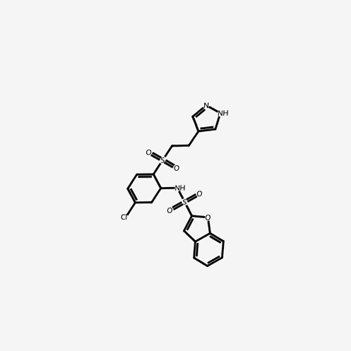 O=S(=O)(CCc1cn[nH]c1)C1=CC=C(Cl)CC1NS(=O)(=O)c1cc2ccccc2o1